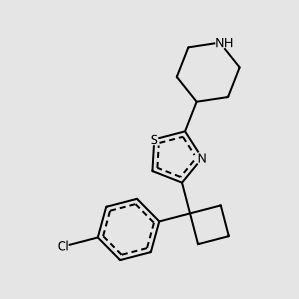 Clc1ccc(C2(c3csc(C4CCNCC4)n3)CCC2)cc1